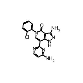 Nc1ccnc(-c2cn(-c3ccccc3Cl)c(=O)c3c(N)n[nH]c23)n1